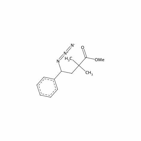 COC(=O)C(C)(C)CC(N=[N+]=[N-])c1ccccc1